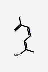 C=C(C)/C=C\C=C(/C)SC